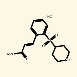 COC(=O)C=Cc1ccccc1S(=O)(=O)C1CCNCC1.Cl